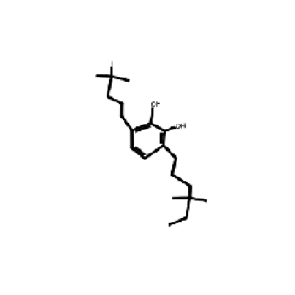 CCC(C)(C)CCCc1ccc(CCCC(C)(C)I)c(O)c1O